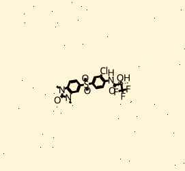 Cn1c(=O)n(C)c2cc(S(=O)(=O)c3ccc(NC(=O)[C@@](C)(O)C(F)(F)F)c(Cl)c3)ccc21